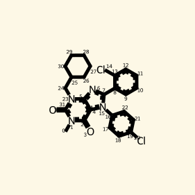 Cn1c(=O)c2c(nc(-c3ccccc3Cl)n2-c2ccc(Cl)cc2)n(CC2CCCCC2)c1=O